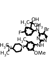 COc1cc(N2CCC(N(C)C)CC2)c(C)cc1Nc1ncc(Br)c(Nc2ccc(F)cc2C(C)(C)O)n1